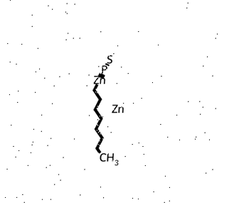 CCCCCCC[CH2][Zn]#[P]=S.[Zn]